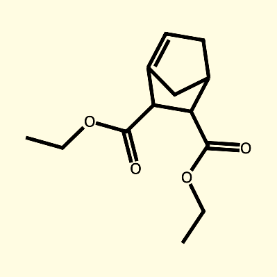 CCOC(=O)C1C2=CCC(C2)C1C(=O)OCC